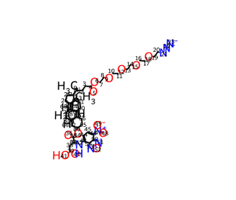 C[C@H](CCC(=O)OCCOCCOCCOCCOCCN=[N+]=[N-])C1CC[C@H]2[C@@H]3CC[C@@H]4C[C@H](OC(=O)[C@H](CC(=O)O)Nc5ccc([N+](=O)[O-])c6nonc56)CC[C@]4(C)[C@H]3CC[C@]12C